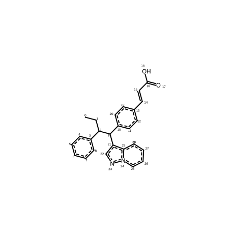 CCC(c1ccccc1)C(c1ccc(/C=C/C(=O)O)cc1)c1cnn2ccccc12